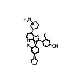 N#Cc1ccc(-c2nc3c(N4CCC[C@@H](N)C4)ccnc3n2-c2ccc(N3CCCC3)cc2F)c(F)c1